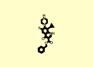 O=C(OCc1ccccc1)c1c[nH]c2c(C3CC3)c(N3CCNCC3)c(F)cc2c1=O